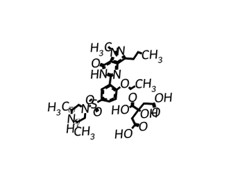 CCCc1nn(C)c2c(=O)[nH]c(-c3cc(S(=O)(=O)N4C[C@@H](C)N[C@@H](C)C4)ccc3OCC)nc12.O=C(O)CC(O)(CC(=O)O)C(=O)O